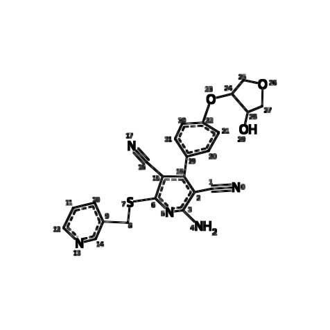 N#Cc1c(N)nc(SCc2cccnc2)c(C#N)c1-c1ccc(OC2COCC2O)cc1